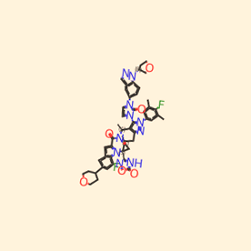 Cc1cc(-n2nc3c(c2-n2ccn(-c4ccc5c(cnn5[C@@H]5CCOC5)c4)c2=O)[C@H](C)N(C(=O)c2cc4cc(C5CCOCC5)cc(F)c4n2[C@@]2(c4noc(=O)[nH]4)C[C@@H]2C)CC3)cc(C)c1F